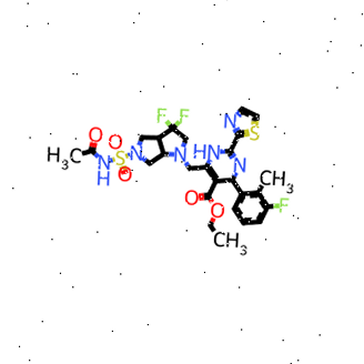 CCOC(=O)C1=C(CN2CC(F)(F)C3CN(S(=O)(=O)NC(C)=O)CC32)NC(c2nccs2)=NC1c1cccc(F)c1C